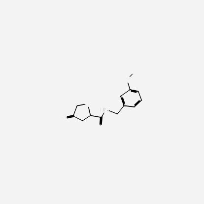 COc1cccc(CNC(=O)C2CC(=O)CS2)c1